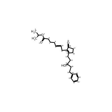 CC(C)OC(=O)CCCC=CCC1=C(CCC(O)CCc2ccccc2)CCC1=O